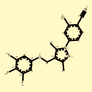 Cc1nn(-c2ccc(C#N)c(Cl)c2)c(C)c1COc1cc(F)c(F)c(F)c1